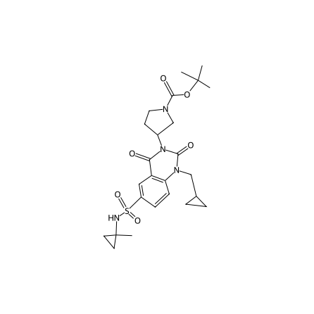 CC1(NS(=O)(=O)c2ccc3c(c2)c(=O)n(C2CCN(C(=O)OC(C)(C)C)C2)c(=O)n3CC2CC2)CC1